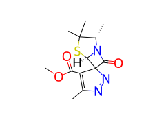 COC(=O)C1=C(C)N=NC12C(=O)N1[C@@H](C)C(C)(C)S[C@@H]12